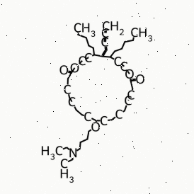 C=C=C=C=C1C(CCCCC)CCOC(=O)CCCCCCCC(OCCCCN(CC)CC)CCCCCCCC(=O)OCCC1CCCCC